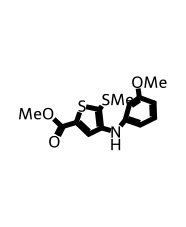 COC(=O)c1cc(Nc2cccc(OC)c2)c(SC)s1